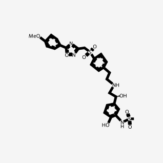 COc1ccc(-c2nc(CS(=O)(=O)c3ccc(CCNC[C@H](O)c4ccc(O)c(NS(C)(=O)=O)c4)cc3)no2)cc1